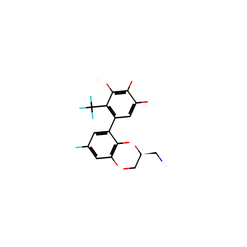 NC[C@H]1COc2cc(F)cc(-c3cc(O)c(O)c(O)c3C(F)(F)F)c2O1